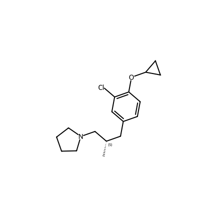 C[C@@H](Cc1ccc(OC2CC2)c(Cl)c1)CN1CCCC1